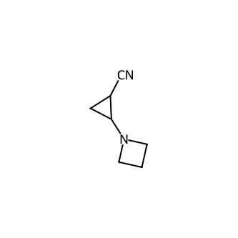 N#CC1CC1N1CCC1